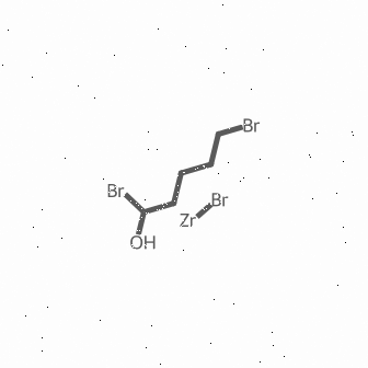 OC(Br)CCCCBr.[Br][Zr]